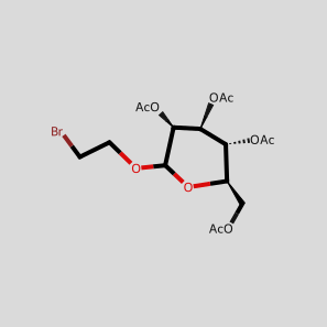 CC(=O)OC[C@H]1OC(OCCBr)[C@@H](OC(C)=O)[C@@H](OC(C)=O)[C@@H]1OC(C)=O